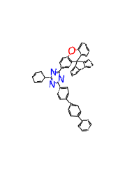 C1=CCC(c2nc(-c3ccc(-c4ccc(-c5ccccc5)cc4)cc3)nc(-c3ccc4c(c3)C3(c5ccccc5O4)c4ccccc4-c4ccccc43)n2)C=C1